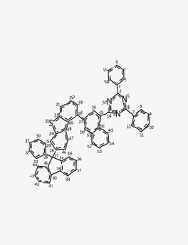 c1ccc(-c2nc(-c3ccccc3)nc(-c3cc(-c4cccc5sc6cc(C7(c8ccccc8)c8ccccc8-c8ccccc87)ccc6c45)cc4ccccc34)n2)cc1